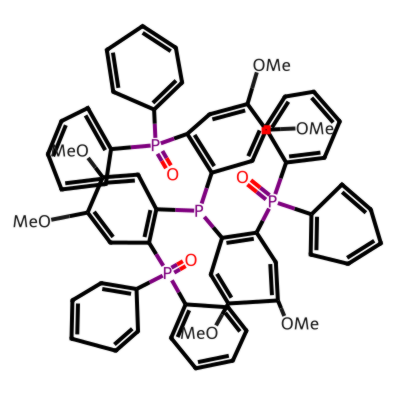 COc1cc(P(c2cc(OC)c(OC)cc2P(=O)(c2ccccc2)c2ccccc2)c2cc(OC)c(OC)cc2P(=O)(c2ccccc2)c2ccccc2)c(P(=O)(c2ccccc2)c2ccccc2)cc1OC